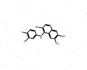 Cc1cc2c(Nc3ccc(F)c(Cl)c3)c(C#N)cnc2cc1O